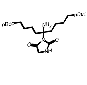 CCCCCCCCCCCCCCC(N)(CCCCCCCCCCCCCC)N1C(=O)CNC1=O